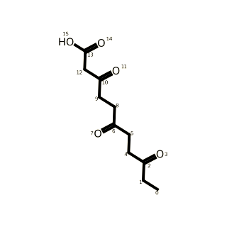 CCC(=O)CCC(=O)CCC(=O)CC(=O)O